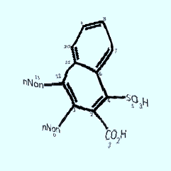 CCCCCCCCCc1c(C(=O)O)c(S(=O)(=O)O)c2ccccc2c1CCCCCCCCC